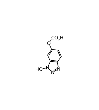 O=C(O)Oc1ccc2nnn(O)c2c1